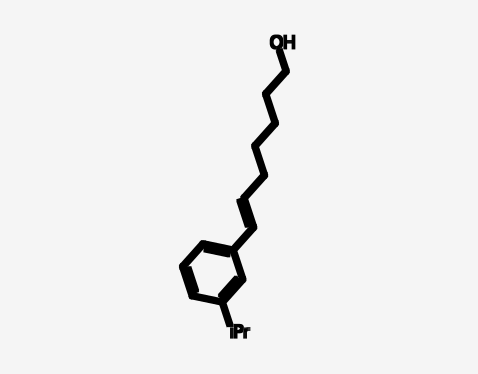 CC(C)c1cccc(/C=C/CCCCCO)c1